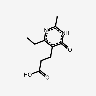 CCc1nc(C)[nH]c(=O)c1CCC(=O)O